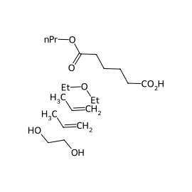 C=CC.C=CC.CCCOC(=O)CCCCC(=O)O.CCOCC.OCCO